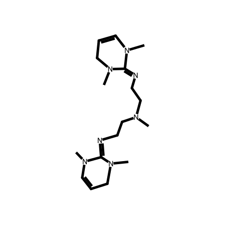 CN(CCN=C1N(C)C=CCN1C)CCN=C1N(C)C=CCN1C